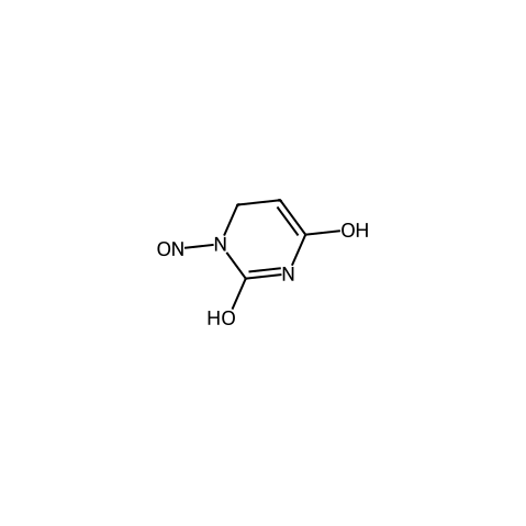 O=NN1CC=C(O)N=C1O